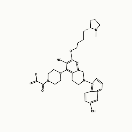 C=C(F)C(=O)N1CCN(c2c(C#N)c(OCCCC[C@@H]3CCCN3C)nc3c2CCN(c2cccc4cc(O)ccc24)C3)CC1